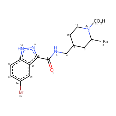 CC(C)(C)C1CC(CNC(=O)c2n[nH]c3ccc(Br)cc23)CCN1C(=O)O